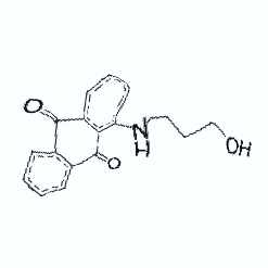 O=C1c2ccccc2C(=O)c2c(NCCCO)cccc21